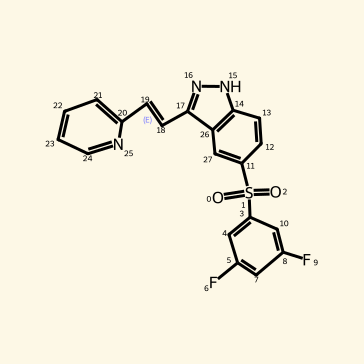 O=S(=O)(c1cc(F)cc(F)c1)c1ccc2[nH]nc(/C=C/c3ccccn3)c2c1